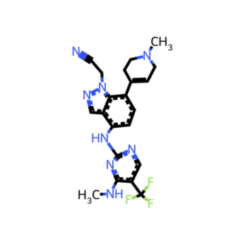 CNc1nc(Nc2ccc(C3=CCN(C)CC3)c3c2cnn3CC#N)ncc1C(F)(F)F